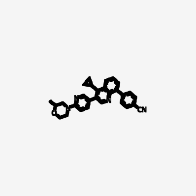 CC1CN(c2ccc(-c3cnc4c(-c5ccc(C#N)cc5)cccc4c3C3CC3)cn2)CCO1